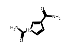 NC(=O)C1=C[SH](C(N)=O)C=C1